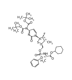 C[C@H]1[C@H](F)[C@H](n2ccc(N(C(=O)OC(C)(C)C)C(=O)OC(C)(C)C)nc2=O)S[C@@H]1COP(=O)(N[C@@H](C)C(=O)OC1CCCCC1)Oc1ccccc1